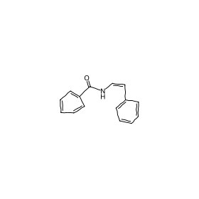 O=C(N/C=C\c1ccccc1)c1ccccc1